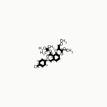 CO/C=C(/Oc1cccc(COc2ccc(Cl)cc2)c1C(=O)OC(C)(C)C)C(=O)OC